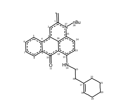 C=c1cc2c3ccccc3c(=O)c3c(NCCC4=CCCCC4)ccc(c3-2)n1CCCC